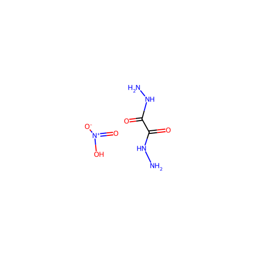 NNC(=O)C(=O)NN.O=[N+]([O-])O